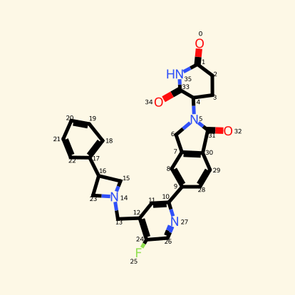 O=C1CCC(N2Cc3cc(-c4cc(CN5CC(c6ccccc6)C5)c(F)cn4)ccc3C2=O)C(=O)N1